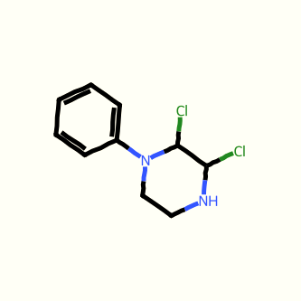 ClC1NCCN(c2ccccc2)C1Cl